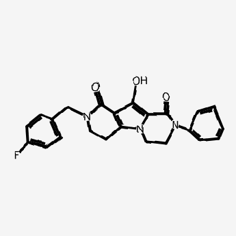 O=C1c2c(O)c3n(c2CCN1Cc1ccc(F)cc1)CCN(c1ccccc1)C3=O